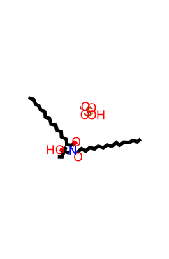 CCCCCCCCCCCCCCCC(=O)N(CC(C)(O)CC)C(=O)CCCCCCCCCCCCCCC.COS(=O)(=O)O